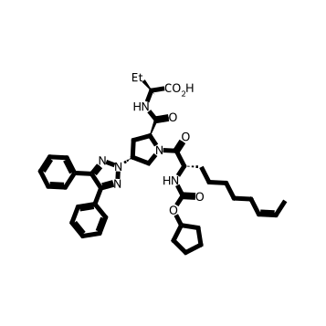 C/C=C\CCCCC[C@H](NC(=O)OC1CCCC1)C(=O)N1C[C@H](n2nc(-c3ccccc3)c(-c3ccccc3)n2)C[C@H]1C(=O)N[C@@H](CC)C(=O)O